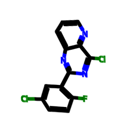 Fc1ccc(Cl)cc1-c1nc(Cl)c2ncccc2n1